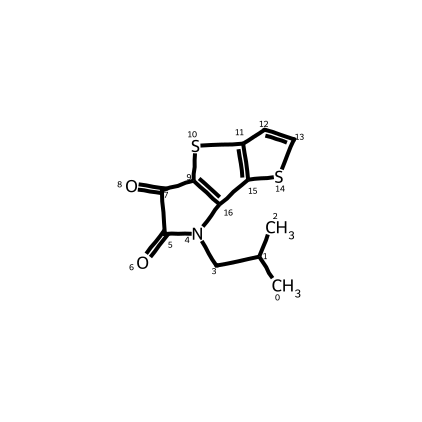 CC(C)CN1C(=O)C(=O)c2sc3ccsc3c21